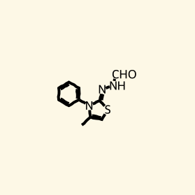 Cc1csc(=NNC=O)n1-c1ccccc1